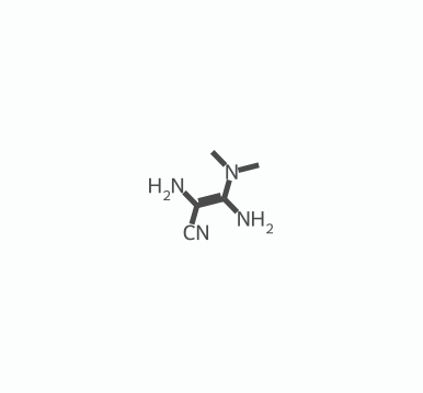 CN(C)/C(N)=C(\N)C#N